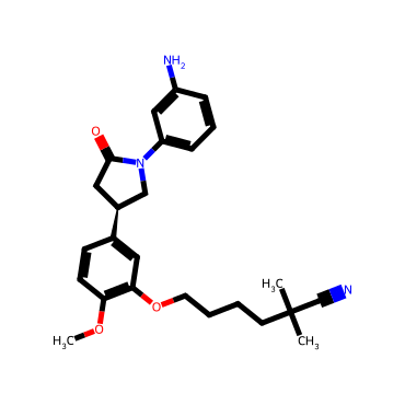 COc1ccc([C@H]2CC(=O)N(c3cccc(N)c3)C2)cc1OCCCCC(C)(C)C#N